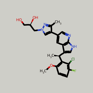 COc1ccc(F)c(Cl)c1[C@@H](C)c1c[nH]c2ncc(-c3cn(C[C@H](O)CO)nc3C)cc12